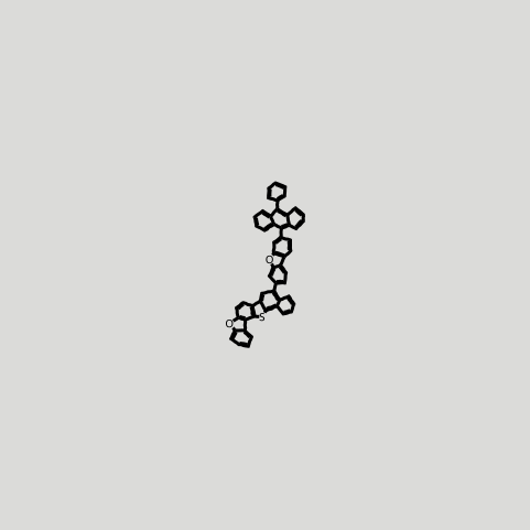 c1ccc(-c2c3ccccc3c(-c3ccc4c(c3)oc3cc(-c5cc6c7ccc8oc9ccccc9c8c7sc6c6ccccc56)ccc34)c3ccccc23)cc1